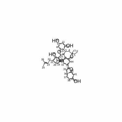 CCC1(C)CC(c2ccc(O)cc2O)C(C(=O)c2cccc(CC=C(C)C)c2O)c2c(O)cc(-c3cc4ccc(O)cc4o3)cc2O1